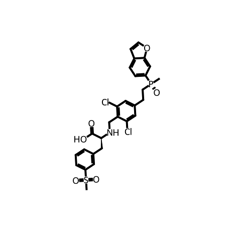 CP(=O)(CCc1cc(Cl)c(CN[C@@H](Cc2cccc(S(C)(=O)=O)c2)C(=O)O)c(Cl)c1)c1ccc2ccoc2c1